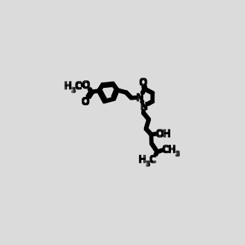 COC(=O)c1ccc(CCN2C(=O)CCN2CCCC(O)CC(C)C)cc1